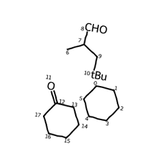 C1CCCCC1.CC(C=O)CC(C)(C)C.O=C1CCCCC1